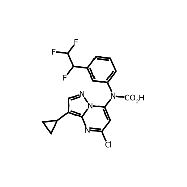 O=C(O)N(c1cccc(C(F)C(F)F)c1)c1cc(Cl)nc2c(C3CC3)cnn12